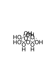 OC[C@H]1O[C@@H](O[C@H]2[C@H](O)[C@@H](O)[CH]O[C@@H]2CO)[C@H](O)[C@@H](O)[C@H]1O